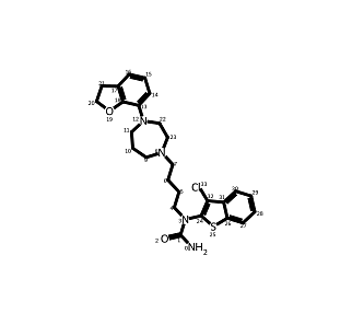 NC(=O)N(CCCCN1CCCN(c2cccc3c2OCC3)CC1)c1sc2ccccc2c1Cl